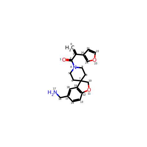 C=C(C(=O)N1CCC2(CC1)COc1ccc(CN)cc12)c1ccoc1